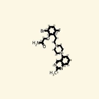 Cc1ncc2c(N3CCN(CCc4c(F)ccc(Br)c4OCC(N)=O)CC3)cccc2n1